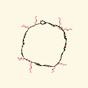 COCOC12CCC(OCOC)(CC1)c1ccc(cc1)-c1ccc(cc1)C1(OCOC)CCC(OCOC)(CC1)c1ccc(cc1)-c1ccc(cc1)-c1ccc(cc1)C1(OCOC)CCC(OCOC)(CC1)c1ccc(cc1)-c1ccc(cc1)C1(OCOC)CCC(OCOC)(CC1)c1ccc(cc1)-c1ccc(cc1)-c1ccc2cc1